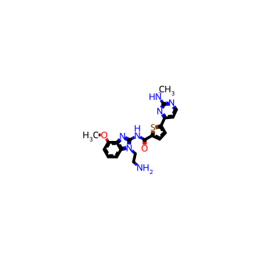 CNc1nccc(-c2ccc(C(=O)Nc3nc4c(OC)cccc4n3CCN)s2)n1